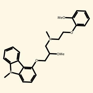 COc1ccccc1OCCN(C)CC(COc1cccc2c1c1ccccc1n2C)OC